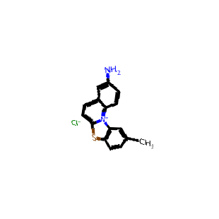 Cc1ccc2sc3ccc4cc(N)ccc4[n+]3c2c1.[Cl-]